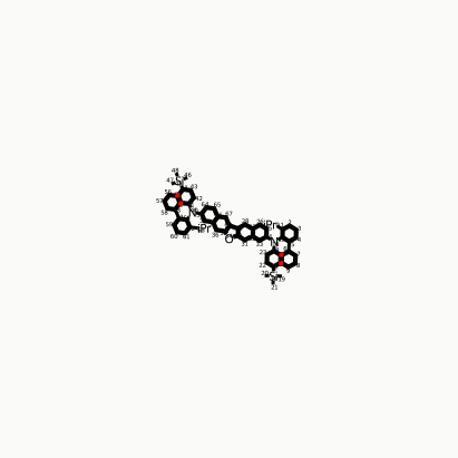 CC(C)c1cccc(-c2ccccc2)c1N(c1ccc([Si](C)(C)C)cc1)c1ccc2cc3c(cc2c1)oc1cc2cc(N(c4ccc([Si](C)(C)C)cc4)c4c(-c5ccccc5)cccc4C(C)C)ccc2cc13